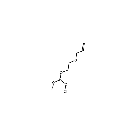 C=CCOCCOP(OCl)OCl